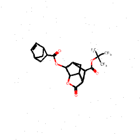 O=C(OC1C2CC3C1OC(=O)C3C2C(=O)OC(C(F)(F)F)(C(F)(F)F)C(F)(F)F)C1CC2C=CC1C2